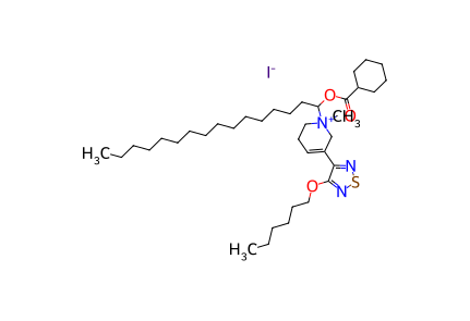 CCCCCCCCCCCCCCCC(OC(=O)C1CCCCC1)[N+]1(C)CCC=C(c2nsnc2OCCCCCC)C1.[I-]